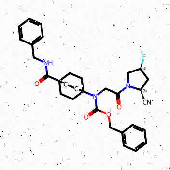 N#C[C@@H]1C[C@H](F)CN1C(=O)CN(C(=O)OCc1ccccc1)C12CCC(C(=O)NCc3ccccc3)(CC1)CC2